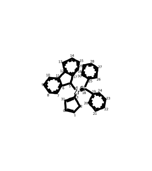 C1=CC[C]([Zr]([CH]2c3ccccc3-c3ccccc32)=[Si](c2ccccc2)c2ccccc2)=C1